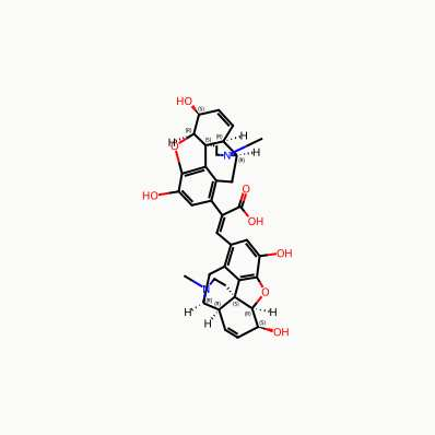 CN1CC[C@]23c4c5c(C=C(C(=O)O)c6cc(O)c7c8c6C[C@@H]6[C@@H]9C=C[C@H](O)[C@H](O7)[C@]89CCN6C)cc(O)c4O[C@H]2[C@@H](O)C=C[C@H]3[C@H]1C5